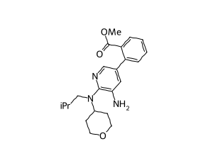 COC(=O)c1ccccc1-c1cnc(N(CC(C)C)C2CCOCC2)c(N)c1